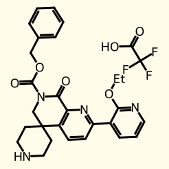 CCOc1ncccc1-c1ccc2c(n1)C(=O)N(C(=O)OCc1ccccc1)CC21CCNCC1.O=C(O)C(F)(F)F